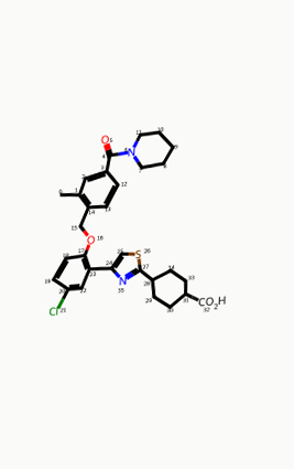 Cc1cc(C(=O)N2CCCCC2)ccc1COc1ccc(Cl)cc1-c1csc(C2CCC(C(=O)O)CC2)n1